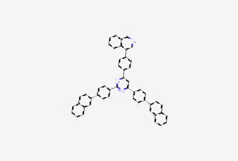 c1ccc2cc(-c3ccc(-c4cc(-c5ccc(-c6cncc7ccccc67)cc5)nc(-c5ccc(-c6ccc7ccccc7c6)cc5)n4)cc3)ccc2c1